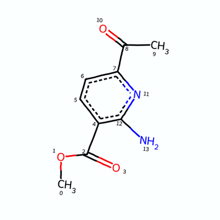 COC(=O)c1ccc(C(C)=O)nc1N